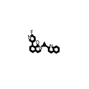 O=c1c2c(-c3ccc(F)nc3)cccc2ccn1C1CC1c1ccc2ccccc2n1